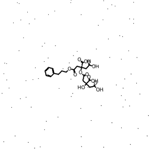 O=C(O)CC(O)(CC(=O)OC(CC(=O)O)(CC(=O)OCCCc1ccccc1)C(=O)O)C(=O)O